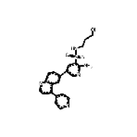 Nc1ncc(-c2ccc3nccc(-c4ccncc4)c3c2)cc1S(=O)(=O)NCCCO